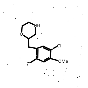 COc1cc(F)c(CC2CNCCO2)cc1Cl